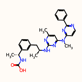 Cc1cc(N(C)c2ccnc(-c3ccccc3)n2)nc(N[C@@H](C)Cc2cccc([C@@H](C)NC(=O)O)c2)n1